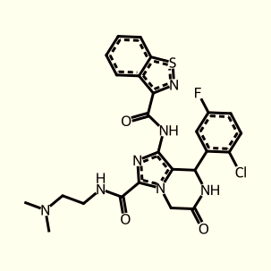 CN(C)CCNC(=O)c1nc(NC(=O)c2nsc3ccccc23)c2n1CC(=O)NC2c1cc(F)ccc1Cl